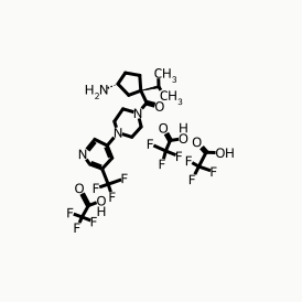 CC(C)[C@]1(C(=O)N2CCN(c3cncc(C(F)(F)F)c3)CC2)CC[C@@H](N)C1.O=C(O)C(F)(F)F.O=C(O)C(F)(F)F.O=C(O)C(F)(F)F